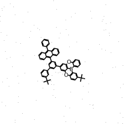 CC(C)(C)c1cccc(-c2cc(-c3cc4c5c(c3)Oc3ccc(C(C)(C)C)cc3B5c3ccccc3O4)cc(-c3c4ccccc4c(-c4ccccc4)c4ccccc34)c2)c1